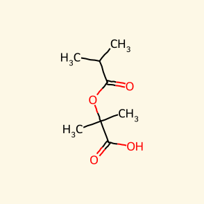 CC(C)C(=O)OC(C)(C)C(=O)O